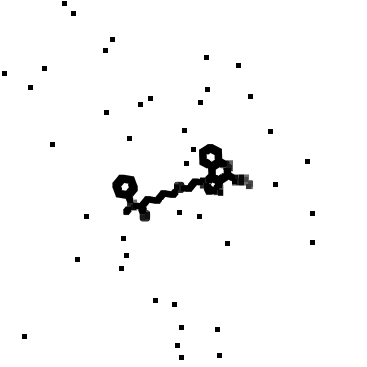 CN(C(=O)CCCCOCCn1cnc2c(N)nc3ccccc3c21)c1ccccc1